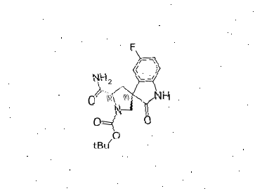 CC(C)(C)OC(=O)N1C[C@]2(C[C@H]1C(N)=O)C(=O)Nc1ccc(F)cc12